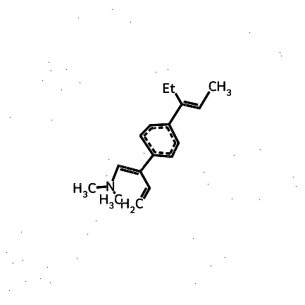 C=C/C(=C\N(C)C)c1ccc(/C(=C/C)CC)cc1